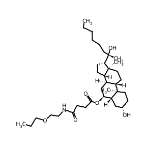 CCCCCC[C@](C)(O)[C@H]1CC[C@H]2[C@@H]3C[C@H](OC(=O)CCC(=O)NCCOCCC)[C@H]4C[C@@H](O)CC[C@]4(C)[C@H]3CC[C@@]21C